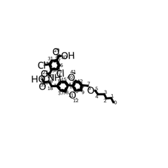 CCCCCCOCc1cc(OC)c(-c2ccc(CC(NC(=O)c3c(Cl)cc(C(=O)O)cc3Cl)C(=O)O)cc2)c(OC)c1